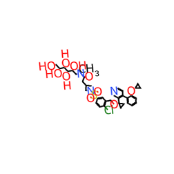 CN(CC(O)C(O)C(O)C(O)CO)C(=O)CC1CN(S(=O)(=O)c2ccc(Cl)c(COC3(c4cnccc4-c4ccccc4OC4CC4)CC3)c2)C1